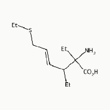 CCSC/C=C/C(CC)C(N)(CC)C(=O)O